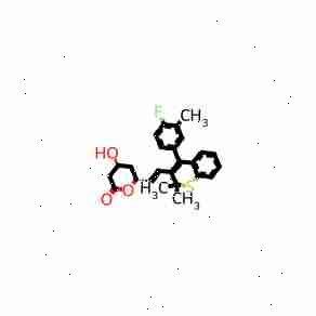 Cc1cc(C2=C(C=C[C@H]3C[C@H](O)CC(=O)O3)C(C)(C)Sc3ccccc32)ccc1F